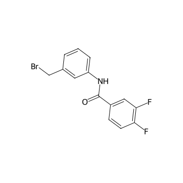 O=C(Nc1cccc(CBr)c1)c1ccc(F)c(F)c1